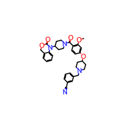 COc1cc(OC2CCN(Cc3cccc(C#N)c3)CC2)ccc1C(=O)N1CCC(N2C(=O)OCc3ccccc32)CC1